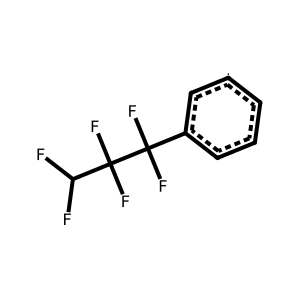 FC(F)C(F)(F)C(F)(F)c1c[c]ccc1